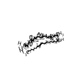 CCCCCCCCC=CCCCCCCCC(=O)O.CCCCOC(=O)CCCCCCCCC(=O)OCCCC.N